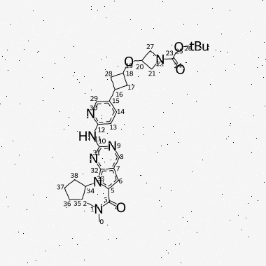 CN(C)C(=O)c1cc2cnc(Nc3ccc(C4CC(OC5CN(C(=O)OC(C)(C)C)C5)C4)cn3)nc2n1C1CCCC1